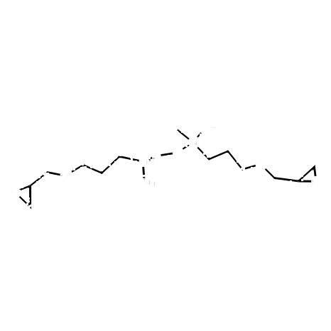 C[Si](O)(CCCOCC1CO1)OC[SiH](O)CCCOCC1CO1